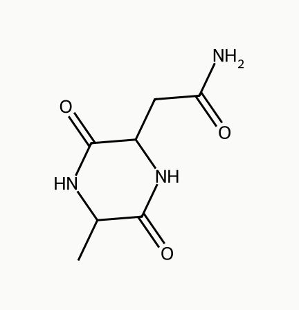 CC1NC(=O)C(CC(N)=O)NC1=O